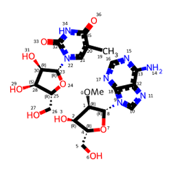 CO[C@@H]1[C@H](O)[C@@H](CO)O[C@H]1n1cnc2c(N)ncnc21.Cc1cn([C@@H]2O[C@H](CO)[C@@H](O)[C@H]2O)c(=O)[nH]c1=O